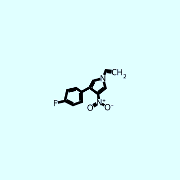 C=Cn1cc(-c2ccc(F)cc2)c([N+](=O)[O-])c1